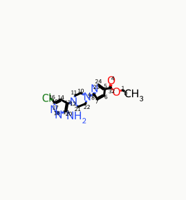 CCOC(=O)c1ccc(N2CCN(c3cc(Cl)nnc3N)CC2)nc1